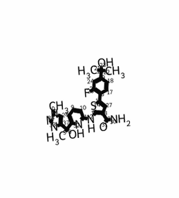 Cn1cc(C(C)(O)c2cccc(Nc3sc(-c4ccc(C(C)(C)O)cc4F)cc3C(N)=O)n2)nn1